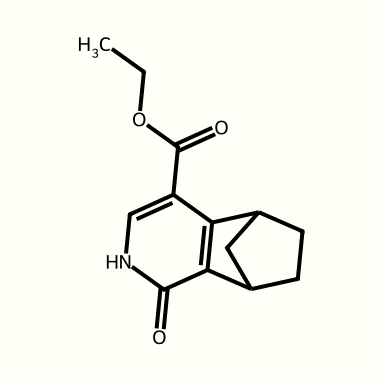 CCOC(=O)c1c[nH]c(=O)c2c1C1CCC2C1